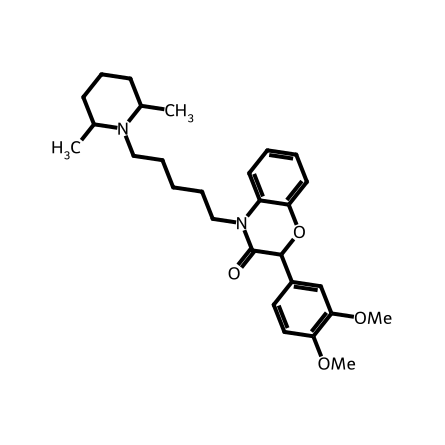 COc1ccc(C2Oc3ccccc3N(CCCCCN3C(C)CCCC3C)C2=O)cc1OC